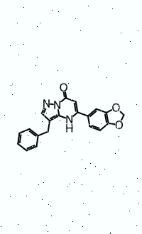 O=c1cc(-c2ccc3c(c2)OCO3)[nH]c2c(Cc3ccccc3)cnn12